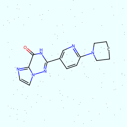 O=c1[nH]c(-c2ccc(N3CCCCC3)nc2)nn2ccnc12